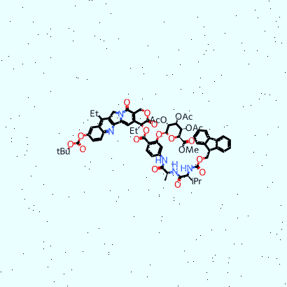 CCc1c2c(nc3ccc(OC(=O)OC(C)(C)C)cc13)-c1cc3c(c(=O)n1C2)COC(=O)[C@@]3(CC)OC(=O)c1ccc(NC(=O)[C@H](C)NC(=O)[C@@H](NC(=O)OCC2c3ccccc3-c3ccccc32)C(C)C)cc1O[C@@H]1O[C@H](C(=O)OC)[C@@H](OC(C)=O)[C@H](OC(C)=O)[C@H]1OC(C)=O